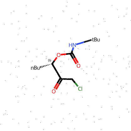 CCCC[C@H](OC(=O)NC(C)(C)C)C(=O)CCl